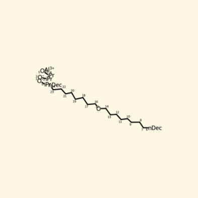 CC(C)[O-].CC(C)[O-].CC(C)[O-].CCCCCCCCCCCCCCCCCCOCCCCCCCCCCCCCCCCCC.[Al+3]